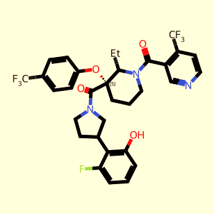 CCC1N(C(=O)c2cnccc2C(F)(F)F)CCC[C@@]1(Oc1ccc(C(F)(F)F)cc1)C(=O)N1CCC(c2c(O)cccc2F)C1